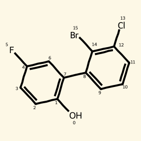 Oc1ccc(F)cc1-c1cccc(Cl)c1Br